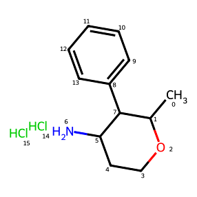 CC1OCCC(N)C1c1ccccc1.Cl.Cl